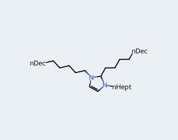 CCCCCCCCCCCCCCCN1C=CN(CCCCCCC)C1CCCCCCCCCCCCCC